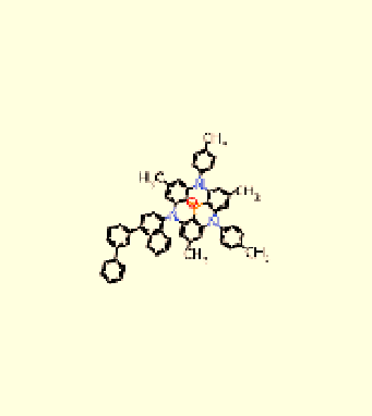 Cc1ccc(N2c3cc(C)cc4c3P3(=O)c5c2cc(C)cc5N(c2ccc(-c5cccc(-c6ccccc6)c5)c5ccccc25)c2cc(C)cc(c23)N4c2ccc(C)cc2)cc1